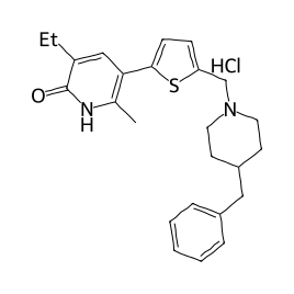 CCc1cc(-c2ccc(CN3CCC(Cc4ccccc4)CC3)s2)c(C)[nH]c1=O.Cl